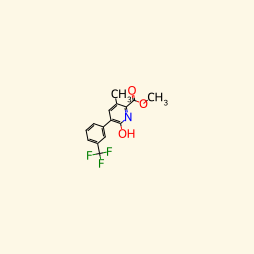 COC(=O)c1nc(O)c(-c2cccc(C(F)(F)F)c2)cc1C